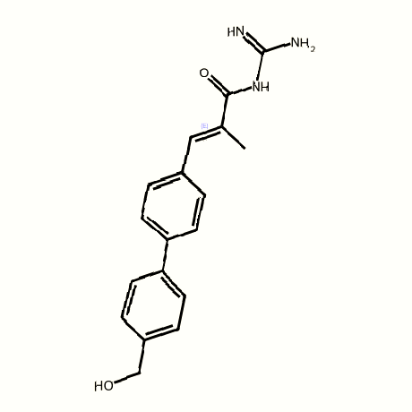 C/C(=C\c1ccc(-c2ccc(CO)cc2)cc1)C(=O)NC(=N)N